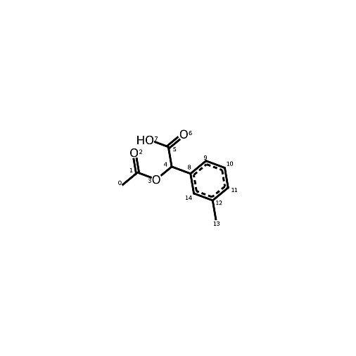 CC(=O)OC(C(=O)O)c1cccc(C)c1